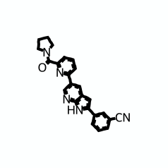 N#Cc1cccc(-c2cc3cc(-c4cccc(C(=O)N5CCCC5)n4)cnc3[nH]2)c1